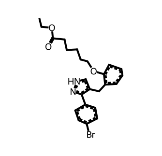 CCOC(=O)CCCCCOc1ccccc1Cc1c[nH]nc1-c1ccc(Br)cc1